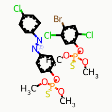 COP(=S)(OC)Oc1cc(Cl)c(Br)cc1Cl.COP(=S)(OC)Oc1ccc(/N=N/c2ccc(Cl)cc2)cc1